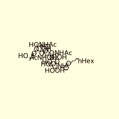 CCCCCC/C=C\CCCOc1cccc(CNC2[C@H](O[C@H]3C(O)C(NC(C)=O)[C@H](O[C@@H]4C(CO)O[C@@H](O[C@H]5C(O)C(NC(C)=O)[C@H](O)O[C@H]5COS(=O)(=O)O)C(NC(C)=O)[C@H]4O)O[C@H]3CO)OC(CO)[C@@H](O)[C@@H]2O)c1